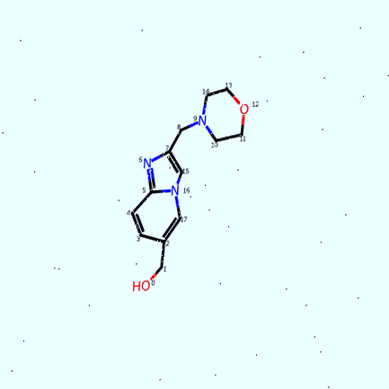 OCc1ccc2nc(CN3CCOCC3)cn2c1